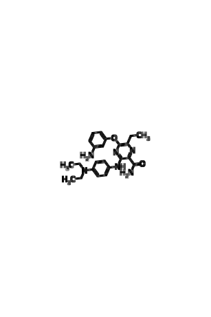 CCc1nc(C(N)=O)c(Nc2ccc(N(CC)CC)cc2)nc1Oc1cccc(N)c1